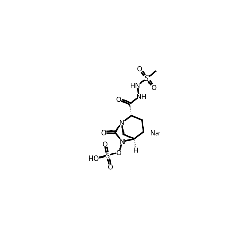 CS(=O)(=O)NNC(=O)[C@@H]1CC[C@@H]2CN1C(=O)N2OS(=O)(=O)O.[Na]